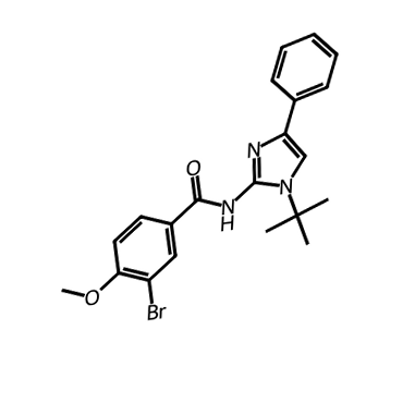 COc1ccc(C(=O)Nc2nc(-c3ccccc3)cn2C(C)(C)C)cc1Br